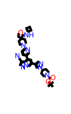 CCC1(C(=O)NC2CCC2)CCN(c2ccc(-c3cc(-c4cnn(C5CCN(C(=O)OC(C)(C)C)CC5)c4)cn4ncc(C#N)c34)cn2)CC1